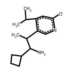 CC(C)c1cc(Cl)ncc1C(C)C(N)C1CCC1